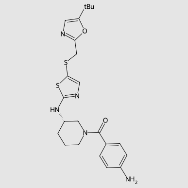 CC(C)(C)c1cnc(CSc2cnc(N[C@H]3CCCN(C(=O)c4ccc(N)cc4)C3)s2)o1